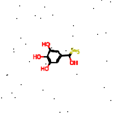 OC(=S=S)c1cc(O)c(O)c(O)c1